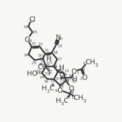 CC(=O)OCC(=O)[C@@]12OC(C)(C)O[C@@H]1C[C@H]1[C@@H]3CC(C#N)=C4C=C(OCCCl)CC[C@]4(C)[C@@]3(F)[C@@H](O)C[C@@]12C